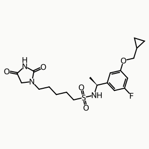 C[C@H](NS(=O)(=O)CCCCCN1CC(=O)NC1=O)c1cc(F)cc(OCC2CC2)c1